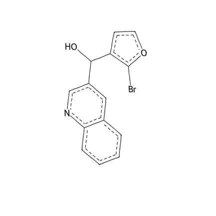 OC(c1cnc2ccccc2c1)c1ccoc1Br